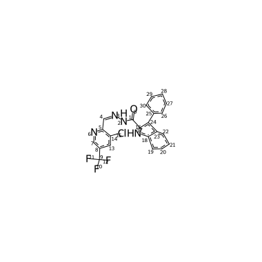 O=C(N/N=C\c1ncc(C(F)(F)F)cc1Cl)c1[nH]c2ccccc2c1-c1ccccc1